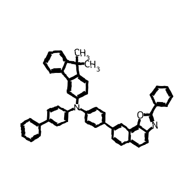 CC1(C)c2ccccc2-c2cc(N(c3ccc(-c4ccccc4)cc3)c3ccc(-c4ccc5ccc6nc(-c7ccccc7)oc6c5c4)cc3)ccc21